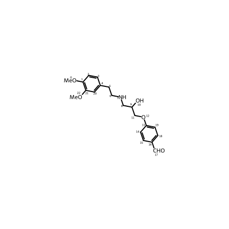 COc1ccc(CCNCC(O)COc2ccc(C=O)cc2)cc1OC